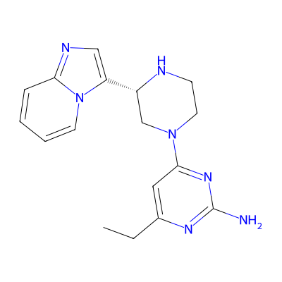 CCc1cc(N2CCN[C@@H](c3cnc4ccccn34)C2)nc(N)n1